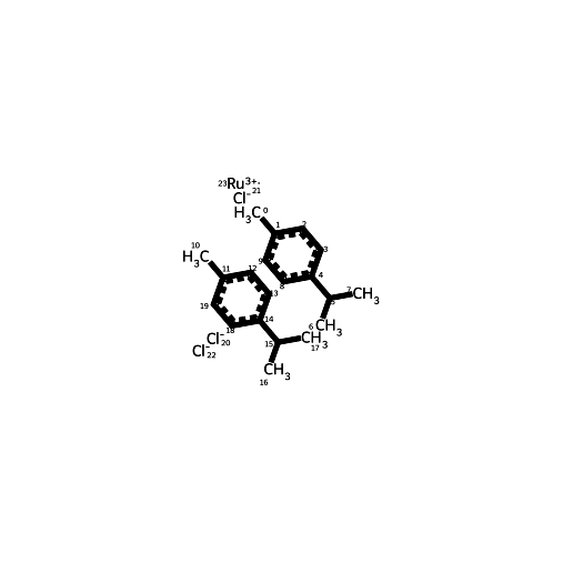 Cc1ccc(C(C)C)cc1.Cc1ccc(C(C)C)cc1.[Cl-].[Cl-].[Cl-].[Ru+3]